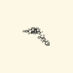 C[C@H](CCC(=O)N1CCN(c2ccncc2)C[C@@H]1C)[C@H]1CC[C@H]2[C@@H]3CC=C4C[C@@H](O)CC[C@]4(C)[C@H]3CC[C@]12C